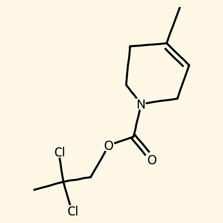 CC1=CCN(C(=O)OCC(C)(Cl)Cl)CC1